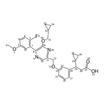 COc1ccc(F)c(-c2ncc(COc3cccc(C(CC(=O)O)C4CC4)c3)nc2OCC2CC2)c1